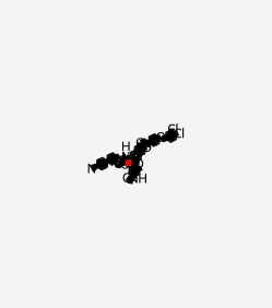 COC(=O)[C@H](Cc1ccc(-c2ccc(C#N)cc2)cc1)NC(=O)[C@@H]1Cc2cc3c(cc2CN1S(=O)(=O)c1ccc(NC(C)=O)cc1C)OC(c1ccc(OCc2ccc(Cl)c(Cl)c2)cc1)CO3